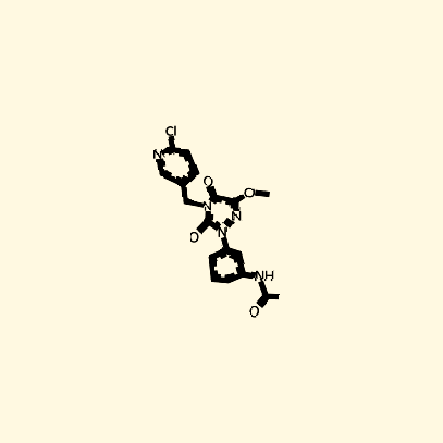 COc1nn(-c2cccc(NC(C)=O)c2)c(=O)n(Cc2ccc(Cl)nc2)c1=O